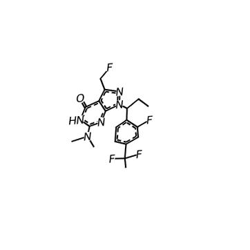 CCC(c1ccc(C(C)(F)F)cc1F)n1nc(CF)c2c(=O)[nH]c(N(C)C)nc21